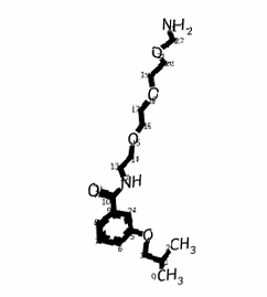 CC(C)COc1cccc(C(=O)NCCOCCOCCOCN)c1